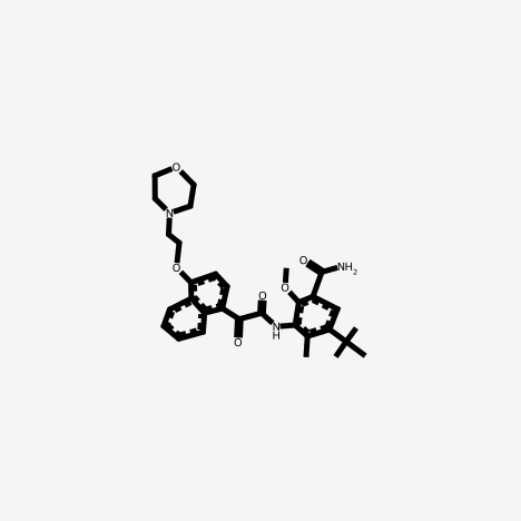 COc1c(C(N)=O)cc(C(C)(C)C)c(C)c1NC(=O)C(=O)c1ccc(OCCN2CCOCC2)c2ccccc12